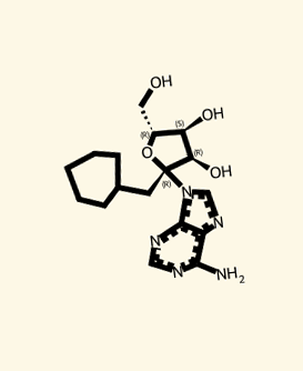 Nc1ncnc2c1ncn2[C@]1(CC2CCCCC2)O[C@H](CO)[C@@H](O)[C@H]1O